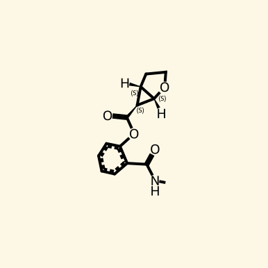 CNC(=O)c1ccccc1OC(=O)[C@H]1[C@@H]2CCO[C@@H]21